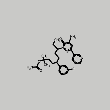 CCC(CCC(CCC(C)(C)OC(N)=O)c1cccc(Cl)c1)n1nc(-c2cccnc2)cc(N)c1=O